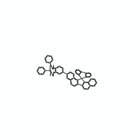 c1ccc(-c2nc3cc(-c4ccc5c6c(ccc5c4)-c4ccc5ccccc5c4C64c5ccccc5-c5ccccc54)ccc3n2-c2ccccc2)cc1